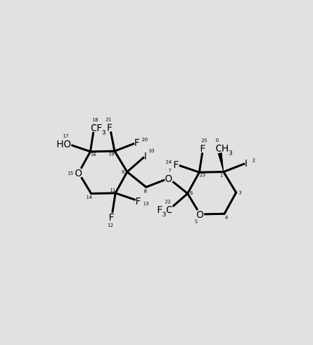 C[C@@]1(I)CCOC(OCC2(I)C(F)(F)COC(O)(C(F)(F)F)C2(F)F)(C(F)(F)F)C1(F)F